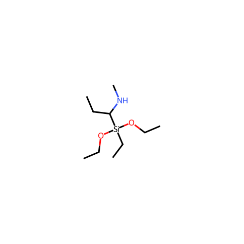 CCO[Si](CC)(OCC)C(CC)NC